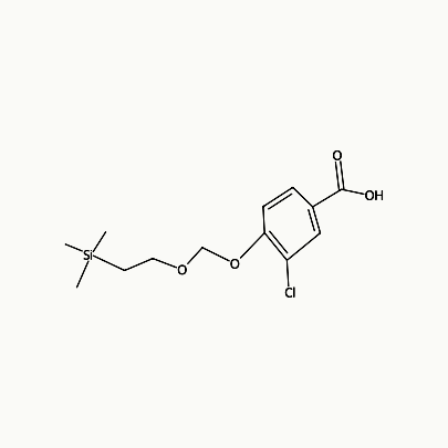 C[Si](C)(C)CCOCOc1ccc(C(=O)O)cc1Cl